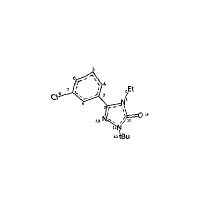 CCn1c(-c2cccc(Cl)c2)nn(C(C)(C)C)c1=O